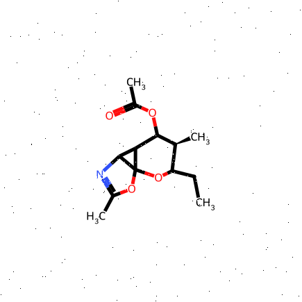 CCC1OC23OC(C)=NC2C3C(OC(C)=O)[C@H]1C